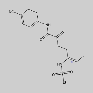 C=C(CC/C(=C\C)NS(=O)(=O)CC)C(=O)NC1=CC=C(C#N)CC1